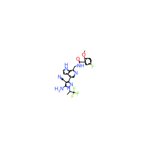 COc1ccc(F)cc1C(=O)NCc1ncc(-c2nn(C(C)C(F)(F)F)c(N)c2C#N)c2cc[nH]c12